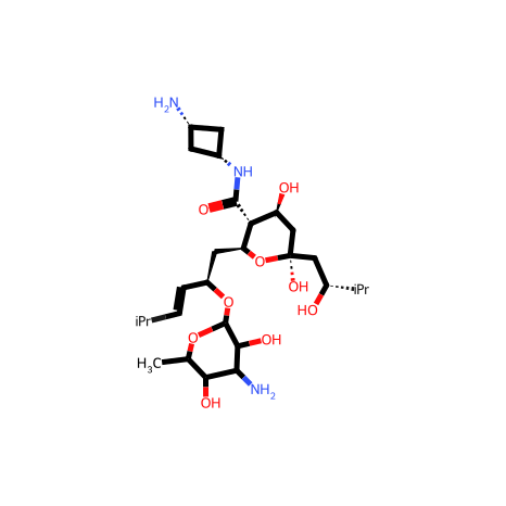 CC(C)/C=C/[C@@H](C[C@@H]1O[C@](O)(C[C@@H](O)C(C)C)C[C@H](O)[C@H]1C(=O)N[C@H]1C[C@@H](N)C1)OC1OC(C)C(O)C(N)C1O